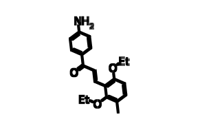 CCOc1ccc(C)c(OCC)c1C=CC(=O)c1ccc(N)cc1